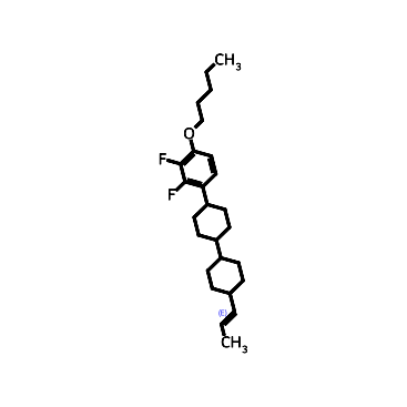 C/C=C/C1CCC(C2CCC(c3ccc(OCCCCC)c(F)c3F)CC2)CC1